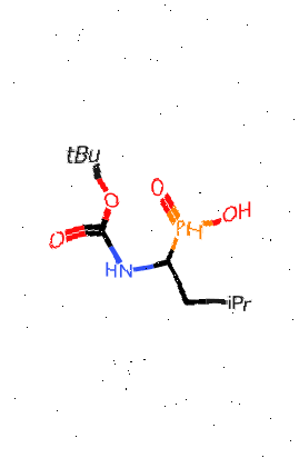 CC(C)CC(NC(=O)OC(C)(C)C)[PH](=O)O